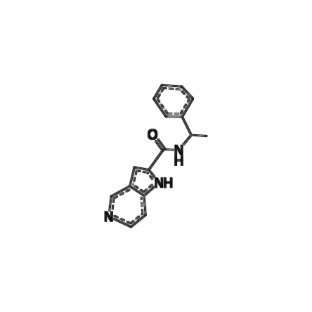 CC(NC(=O)c1cc2cnccc2[nH]1)c1ccccc1